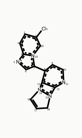 Clc1ccc2ncc(-c3ccnc4c3n3n4CC=C3)n2c1